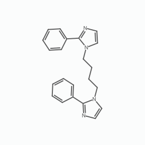 c1ccc(-c2nccn2CCCCn2ccnc2-c2ccccc2)cc1